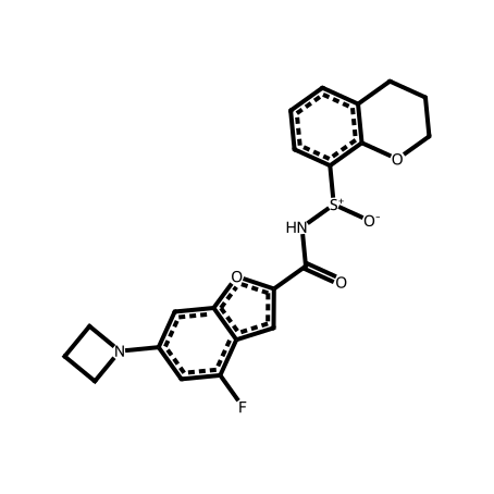 O=C(N[S+]([O-])c1cccc2c1OCCC2)c1cc2c(F)cc(N3CCC3)cc2o1